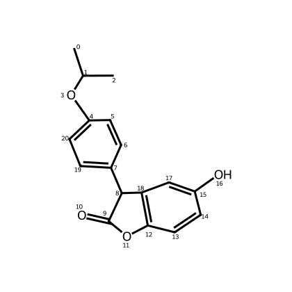 CC(C)Oc1ccc(C2C(=O)Oc3ccc(O)cc32)cc1